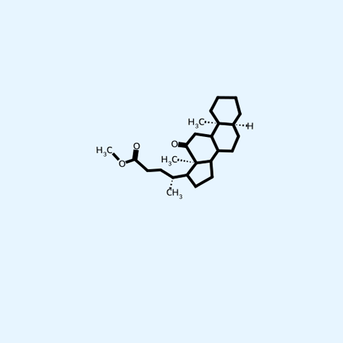 COC(=O)CC[C@@H](C)C1CCC2C3CC[C@@H]4CCCC[C@]4(C)C3CC(=O)[C@@]21C